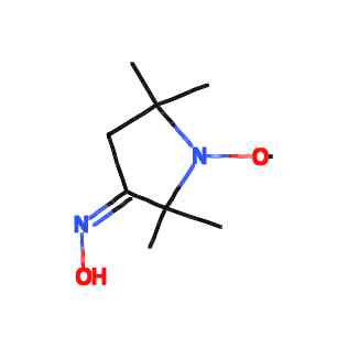 CC1(C)C/C(=N/O)C(C)(C)N1[O]